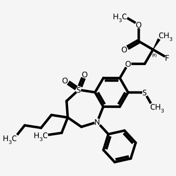 CCCCC1(CC)CN(c2ccccc2)c2cc(SC)c(OC[C@@](C)(F)C(=O)OC)cc2S(=O)(=O)C1